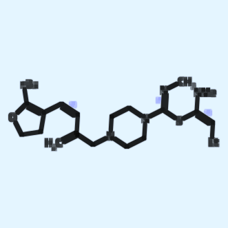 C=C(/C=C\C1=C(CCCC)OCC1)CN1CCN(/C(=N/C)S/C(=C\CC)NC)CC1